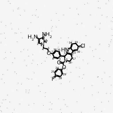 Nc1cn(CCOc2ccc(C3c4[nH]c5c(c4CCN3C(=O)Oc3ccc(F)cc3)=CC(Cl)CC=5)cc2)nc1N